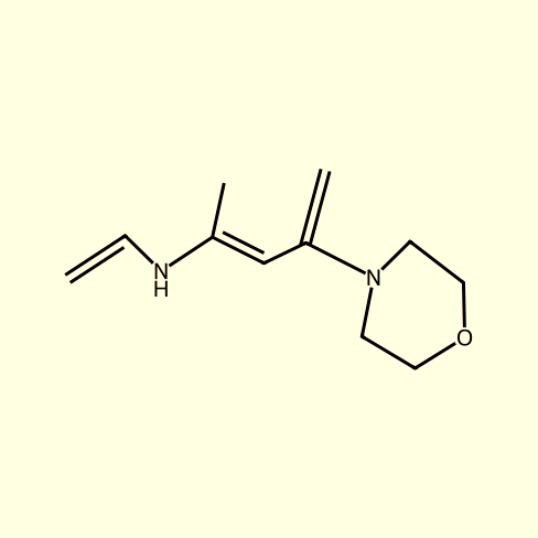 C=CN/C(C)=C/C(=C)N1CCOCC1